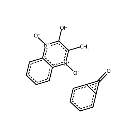 Cc1c(O)[n+]([O-])c2ccccc2[n+]1[O-].O=c1c2ccccc12